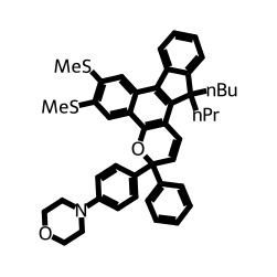 CCCCC1(CCC)c2ccccc2-c2c1c1c(c3cc(SC)c(SC)cc23)OC(c2ccccc2)(c2ccc(N3CCOCC3)cc2)C=C1